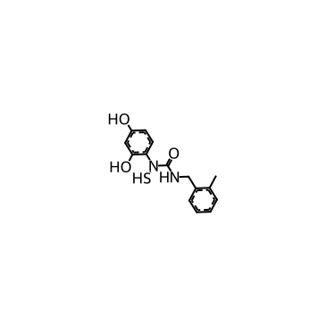 Cc1ccccc1CNC(=O)N(S)c1ccc(O)cc1O